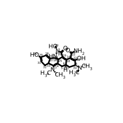 CN(C)C1=C2C[C@H]3C[C@H](N(C)C)C(O)=C(C(N)=O)C3=C3C(=O)N(O)NC23CC2=CC(O)=CCC21